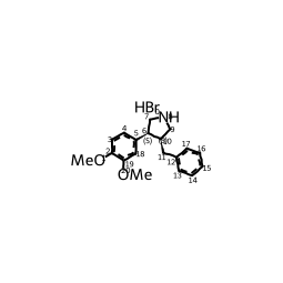 Br.COc1ccc([C@H]2CNC[C@H]2Cc2ccccc2)cc1OC